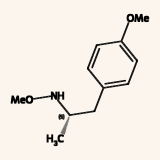 CON[C@@H](C)Cc1ccc(OC)cc1